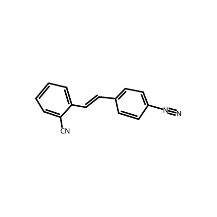 N#Cc1ccccc1C=Cc1ccc([N+]#N)cc1